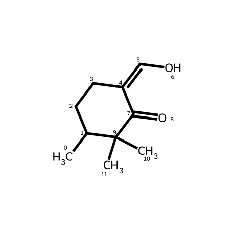 CC1CCC(=CO)C(=O)C1(C)C